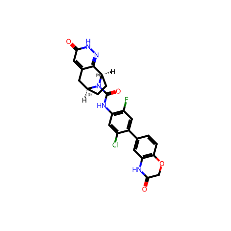 O=C1COc2ccc(-c3cc(F)c(NC(=O)N4[C@H]5CC[C@@H]4c4n[nH]c(=O)cc4C5)cc3Cl)cc2N1